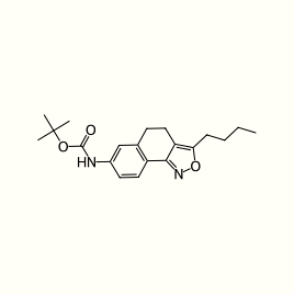 CCCCc1onc2c1CCc1cc(NC(=O)OC(C)(C)C)ccc1-2